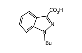 CCC(C)n1nc(C(=O)O)c2ccccc21